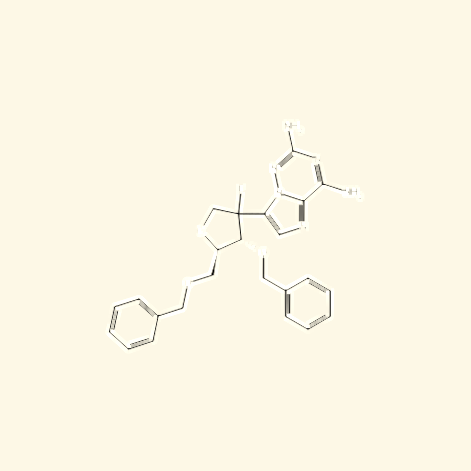 Nc1nc(N)c2ncc(C3(F)CO[C@H](COCc4ccccc4)[C@H]3OCc3ccccc3)n2n1